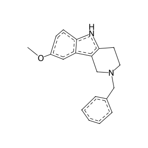 COc1ccc2[nH]c3c(c2c1)CN(Cc1ccccc1)CC3